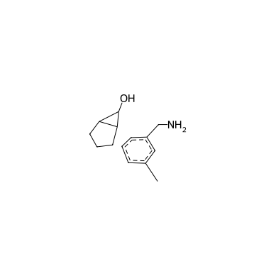 Cc1cccc(CN)c1.OC1C2CCCC12